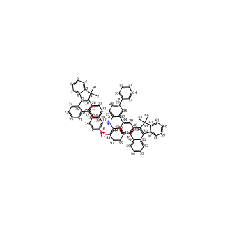 CC1(C)c2ccccc2-c2c1cc(-c1ccc3c(c1)N(c1c(-c4ccccc4)cc(-c4ccccc4)cc1-c1ccccc1)c1cc(-c4cc5c(c6ccccc46)-c4ccccc4C5(C)C)ccc1O3)c1ccccc21